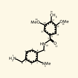 CNc1cc(CN)ccc1CNC(=O)c1cc(OC)c(C)c(OC)c1